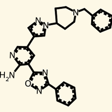 Nc1ncc(-c2cnn(C3CCN(Cc4ccccc4)CC3)c2)cc1-c1nc(-c2ccccc2)no1